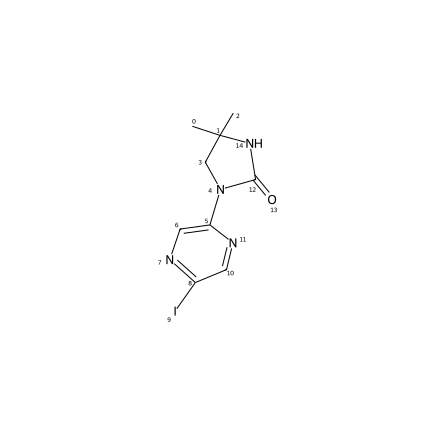 CC1(C)CN(c2cnc(I)cn2)C(=O)N1